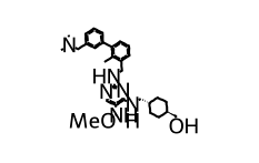 CONc1cnc(NCc2cccc(-c3cccc(CN(C)C)c3)c2C)nc1NC[C@H]1CC[C@H](CO)CC1